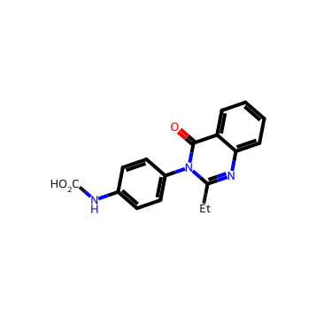 CCc1nc2ccccc2c(=O)n1-c1ccc(NC(=O)O)cc1